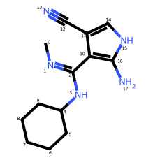 C/N=C(/NC1CCCCC1)c1c(C#N)c[nH]c1N